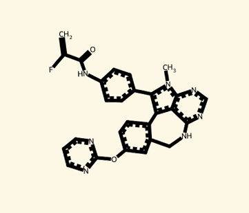 C=C(F)C(=O)Nc1ccc(-c2c3c4c(ncnc4n2C)NCc2cc(Oc4ncccn4)ccc2-3)cc1